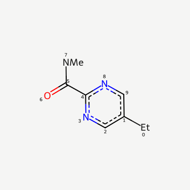 CCc1cnc(C(=O)NC)nc1